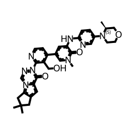 C[C@H]1COCCN1c1ccc(Nc2cc(-c3ccnc(-n4ncn5c6c(cc5c4=O)CC(C)(C)C6)c3CO)cn(C)c2=O)nc1